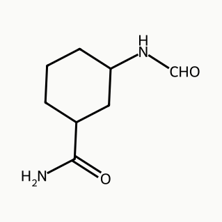 NC(=O)C1CCCC(NC=O)C1